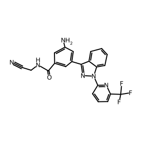 N#CCNC(=O)c1cc(N)cc(-c2nn(-c3cccc(C(F)(F)F)n3)c3ccccc23)c1